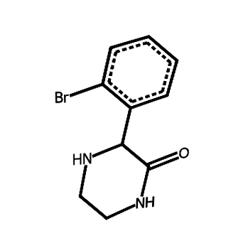 O=C1NCCNC1c1ccccc1Br